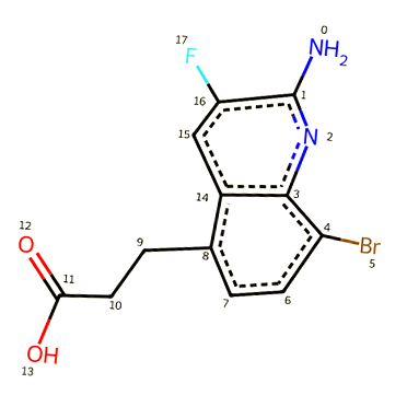 Nc1nc2c(Br)ccc(CCC(=O)O)c2cc1F